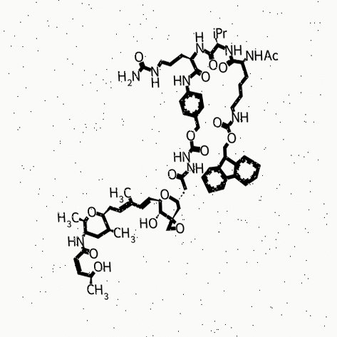 CC(=O)N[C@@H](CCCCNC(=O)OCC1c2ccccc2-c2ccccc21)C(=O)N[C@H](C(=O)N[C@H](CCCNC(N)=O)C(=O)Nc1ccc(COC(=O)NNC(=O)C[C@@H]2C[C@@]3(CO3)[C@H](O)[C@@H](/C=C/C(C)=C/C[C@@H]3O[C@H](C)[C@H](NC(=O)/C=C\[C@H](C)O)C[C@@H]3C)O2)cc1)C(C)C